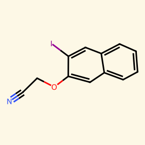 N#CCOc1cc2ccccc2cc1I